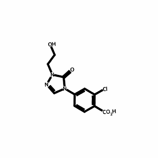 O=C(O)c1ccc(-n2cnn(CCO)c2=O)cc1Cl